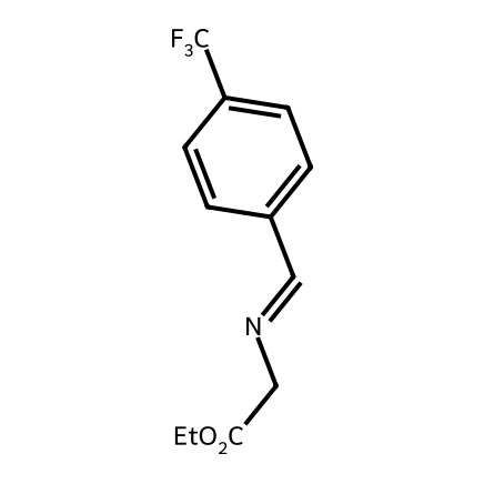 CCOC(=O)CN=Cc1ccc(C(F)(F)F)cc1